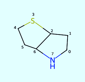 C1CC2SCCC2N1